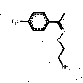 C/C(=N/OCCN)c1ccc(C(F)(F)F)cc1